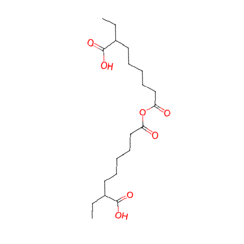 CCC(CCCCCC(=O)OC(=O)CCCCCC(CC)C(=O)O)C(=O)O